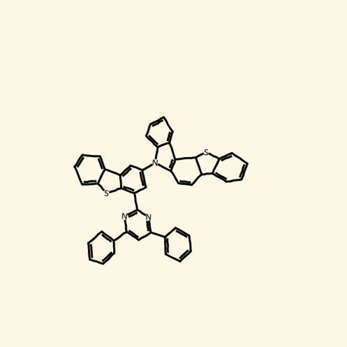 C1=CC2c3ccccc3SC2c2c1n(-c1cc(-c3nc(-c4ccccc4)cc(-c4ccccc4)n3)c3sc4ccccc4c3c1)c1ccccc21